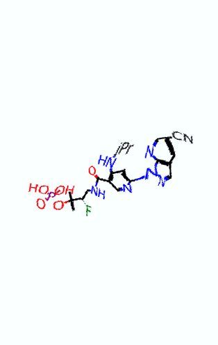 CC(C)Nc1cc(-n2ncc3cc(C#N)cnc32)ncc1C(=O)NC[C@H](F)C(C)(C)OP(=O)(O)O